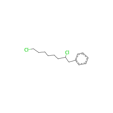 ClCCCCCCC(Cl)Cc1ccccc1